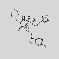 O=C(NCCN1CCc2cc(F)ccc21)[C@H](CC1CCCCC1)NS(=O)(=O)c1ccc(-c2ccon2)s1